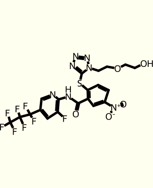 O=C(Nc1ncc(C(F)(F)C(F)(F)C(F)(F)F)cc1F)c1cc([N+](=O)[O-])ccc1Sc1nnnn1CCOCCO